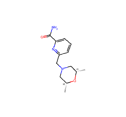 C[C@@H]1CN(Cc2cccc(C(N)=O)n2)C[C@H](C)O1